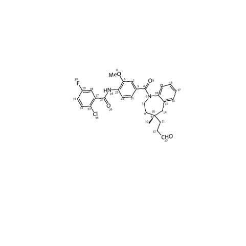 COc1cc(C(=O)N2CC[C@@](C)(CCC=O)Cc3ccccc32)ccc1NC(=O)c1cc(F)ccc1Cl